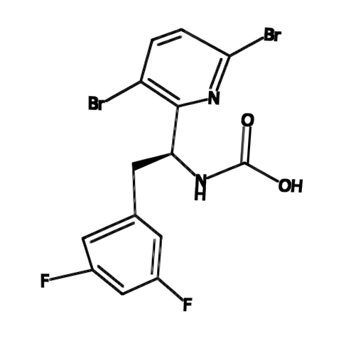 O=C(O)N[C@@H](Cc1cc(F)cc(F)c1)c1nc(Br)ccc1Br